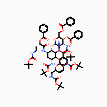 CC(C)(C)OC(=O)NCC[C@H](OC(=O)c1ccccc1)C(=O)N[C@@H]1C[C@@H](NC(=O)OC(C)(C)C)C(O[C@H]2OC(CNC(=O)OC(C)(C)C)C=CC2NC(=O)OC(C)(C)C)C(N=[N+]=[N-])[C@H]1O[C@H]1OC(COC(=O)c2ccccc2)[C@@H](OC(=O)c2ccccc2)[C@H](NC(=O)OC(C)(C)C)C1OC(=O)c1ccccc1